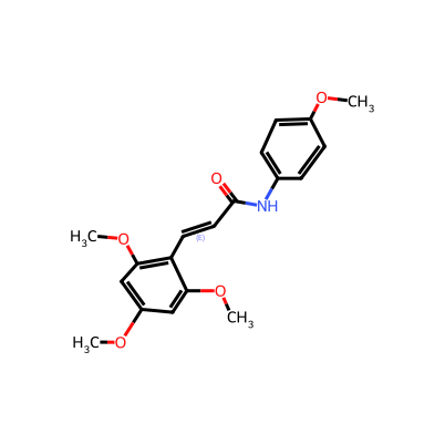 COc1ccc(NC(=O)/C=C/c2c(OC)cc(OC)cc2OC)cc1